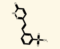 CS(=O)(=O)c1cccc(C=Cc2ccc(=O)[nH]n2)c1